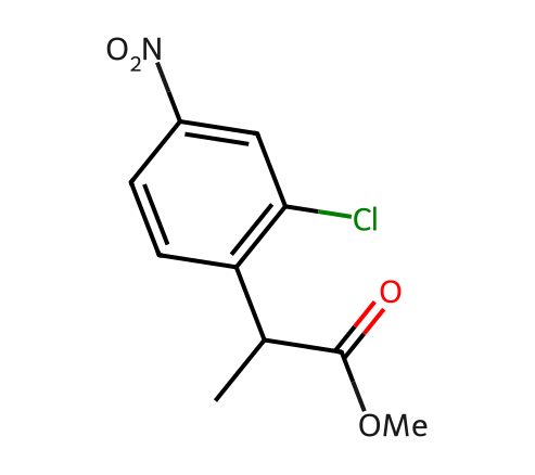 COC(=O)C(C)c1ccc([N+](=O)[O-])cc1Cl